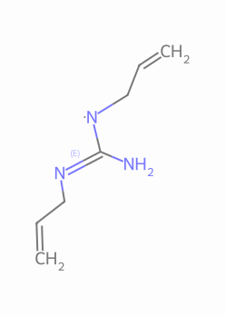 C=CC[N]/C(N)=N/CC=C